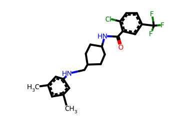 Cc1cc(C)cc(NCC2CCC(NC(=O)c3cc(C(F)(F)F)ccc3Cl)CC2)c1